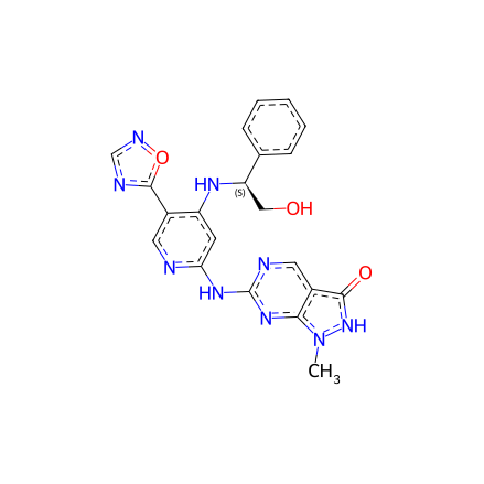 Cn1[nH]c(=O)c2cnc(Nc3cc(N[C@H](CO)c4ccccc4)c(-c4ncno4)cn3)nc21